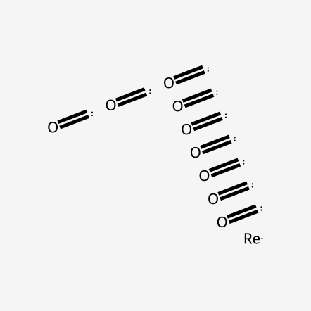 [C]=O.[C]=O.[C]=O.[C]=O.[C]=O.[C]=O.[C]=O.[C]=O.[C]=O.[Re]